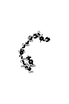 Cc1ncsc1-c1ccc([C@H](C)NC(=O)[C@@H]2C[C@@H](O)CN2C(=O)[C@@H](NC(=O)CCC(=O)NCCN(C)[C@@H]2C[C@@H]3CN(CCC(=O)NCCCNc4cc(N5CCC6(CC5)CN(c5cc(F)c(CN7CCC(C)(C)CC7)cc5F)CC(=O)N6)ncn4)C[C@@H]3C2)C(C)(C)C)cc1